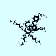 CCCCOC[C@H]1O[C@@](O)(C2(c3ccccc3Cc3ccc(OC)cc3)SCCCS2)[C@H](OCCCC)[C@@H](OCCCC)[C@@H]1OCCCC